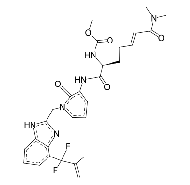 C=C(C)C(F)(F)c1cccc2[nH]c(Cn3cccc(NC(=O)[C@H](CC/C=C/C(=O)N(C)C)NC(=O)OC)c3=O)nc12